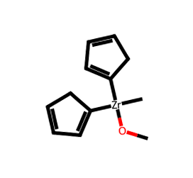 C[O][Zr]([CH3])([C]1=CC=CC1)[C]1=CC=CC1